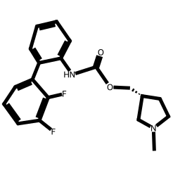 CN1CC[C@@H](COC(=O)Nc2ccccc2-c2cccc(F)c2F)C1